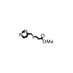 COC(=O)CCSCc1ccncn1